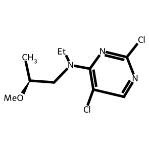 CCN(C[C@H](C)OC)c1nc(Cl)ncc1Cl